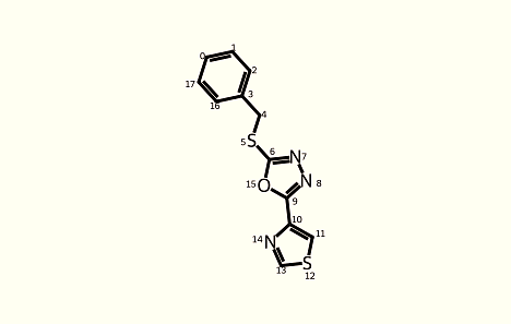 c1ccc(CSc2nnc(-c3cscn3)o2)cc1